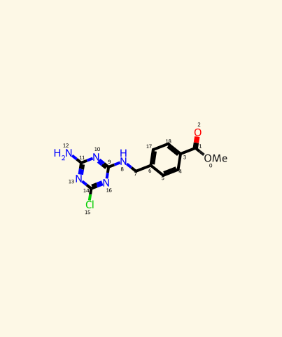 COC(=O)c1ccc(CNc2nc(N)nc(Cl)n2)cc1